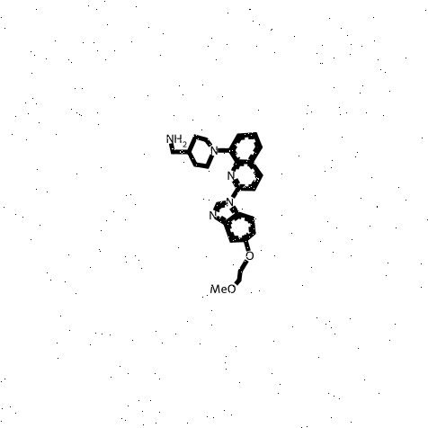 COCCOc1ccc2c(c1)ncn2-c1ccc2cccc(N3CCC(CN)CC3)c2n1